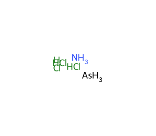 Cl.Cl.Cl.N.[AsH3]